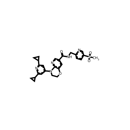 CS(=O)(=O)c1ccc(CNC(=O)c2cnc3c(c2)OCCN3c2cc(C3CC3)nc(C3CC3)c2)nc1